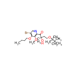 CCCCOc1c(Br)cnc(C(=O)C(C)(O)CCO[Si](C)(C)C(C)(C)C)c1OC